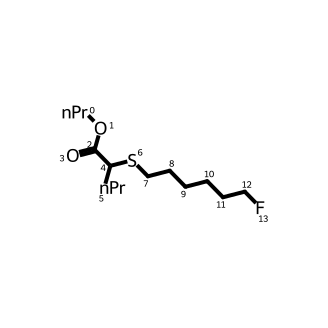 CCCOC(=O)C(CCC)SCCCCCCF